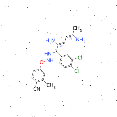 C/C(N)=C/C=C(\N)C(NNOc1ccc(C#N)c(C)c1)c1ccc(Cl)c(Cl)c1